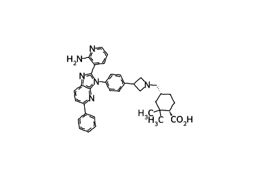 CC1(C)C[C@H](CN2CC(c3ccc(-n4c(-c5cccnc5N)nc5ccc(-c6ccccc6)nc54)cc3)C2)CC[C@H]1C(=O)O